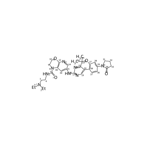 CCN(CC)CCNC(=O)N1CCOc2ncc(Nc3ncc4c(n3)C(C)(C)Oc3cc(N5CCCC5=O)ccc3-4)cc21